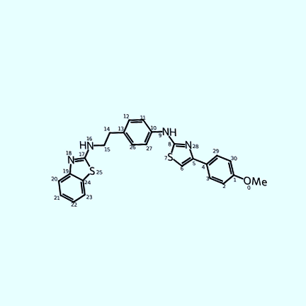 COc1ccc(-c2csc(Nc3ccc(CCNc4nc5ccccc5s4)cc3)n2)cc1